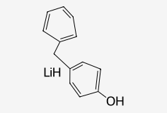 Oc1ccc(Cc2ccccc2)cc1.[LiH]